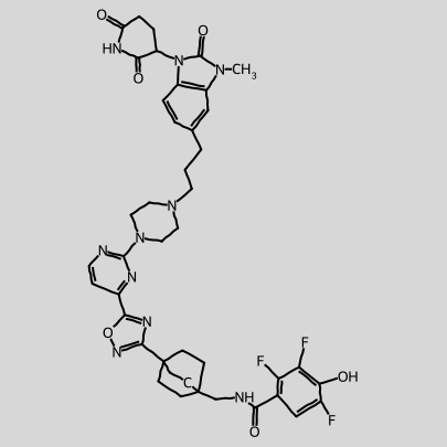 Cn1c(=O)n(C2CCC(=O)NC2=O)c2ccc(CCCN3CCN(c4nccc(-c5nc(C67CCC(CNC(=O)c8cc(F)c(O)c(F)c8F)(CC6)CC7)no5)n4)CC3)cc21